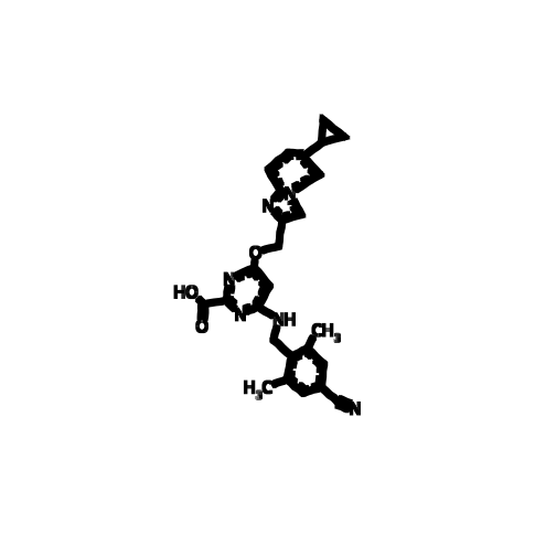 Cc1cc(C#N)cc(C)c1CNc1cc(OCc2cn3cc(C4CC4)ccc3n2)nc(C(=O)O)n1